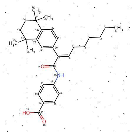 CCCCCC/C=C(/C(=O)Nc1ccc(C(=O)O)cc1)c1ccc2c(c1)C(C)(C)CCC2(C)C